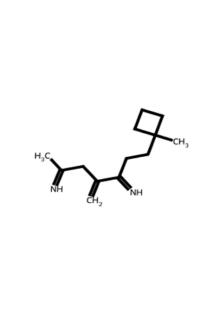 C=C(CC(C)=N)C(=N)CCC1(C)CCC1